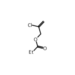 C=C(Cl)COC(=O)CC